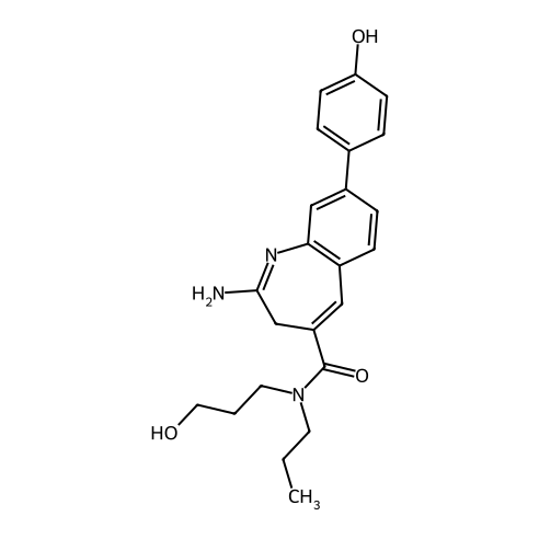 CCCN(CCCO)C(=O)C1=Cc2ccc(-c3ccc(O)cc3)cc2N=C(N)C1